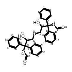 O=COC(c1ccccc1)(c1ccccc1)C(O)COCC(O)C(OC=O)(c1ccccc1)c1ccccc1